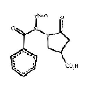 CCCCCCCCCN(C(=O)c1ccccc1)N1CC(C(=O)O)CC1=O